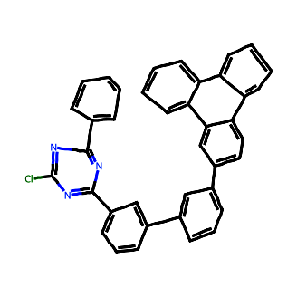 Clc1nc(-c2ccccc2)nc(-c2cccc(-c3cccc(-c4ccc5c6ccccc6c6ccccc6c5c4)c3)c2)n1